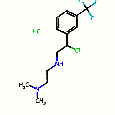 CN(C)CCNCC(Cl)c1cccc(C(F)(F)F)c1.Cl